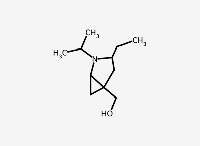 CCC1CC2(CO)CC2N1C(C)C